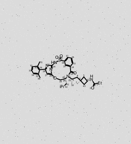 CCC(=O)N[C@H]1C[C@](C)(C[C@H](C)N2C(=O)c3cccc(c3)S(=O)(=O)Nc3nc(cc(-c4c(C)cccc4C)n3)OC[C@H]2CC(C)C)C1